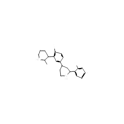 CC1NCCCC1c1cc(C2CCNC(c3ccccc3C(C)(C)C)C2)ccc1C(C)(C)C